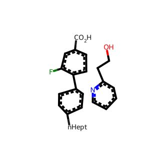 CCCCCCCc1ccc(-c2ccc(C(=O)O)cc2F)cc1.OCCc1ccccn1